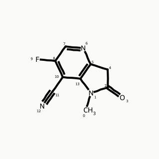 CN1C(=O)Cc2ncc(F)c(C#N)c21